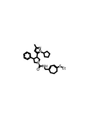 CCSC1=CC=C(CNC(=O)N2CC(c3ccccc3)C(c3cc(C)nn3C3CCCC3)C2)CCC1